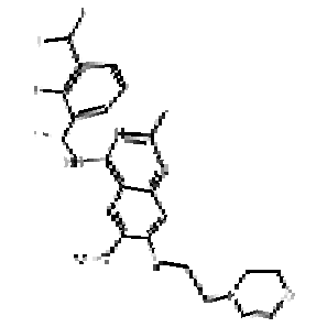 COc1cc2c(N[C@H](C)c3cccc(C(F)F)c3F)nc(C)nc2cc1OCCN1CCOCC1